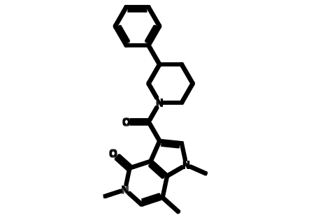 Cc1cn(C)c(=O)c2c(C(=O)N3CCCC(c4ccccc4)C3)cn(C)c12